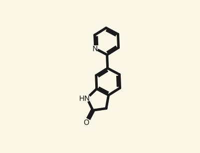 O=C1Cc2ccc(-c3ccccn3)cc2N1